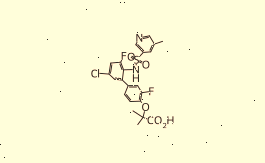 Cc1cncc(S(=O)(=O)Nc2c(F)cc(Cl)cc2-c2ccc(OC(C)(C)C(=O)O)c(F)c2)c1